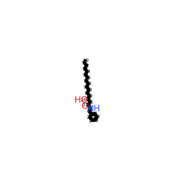 CCCCCCCCCCCCCC(O)CC(=O)NCc1ccccc1